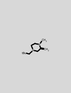 C=C1CN(CC(C)(C)C)CCN1C